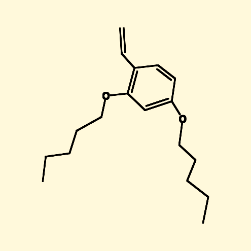 C=Cc1ccc(OCCCCC)cc1OCCCCC